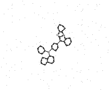 c1ccc(N(c2ccc(-c3c4ccccc4n4c3oc3ccccc34)cc2)c2cccc3ccccc23)cc1